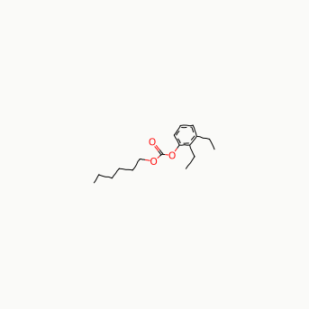 CCCCCCOC(=O)Oc1cccc(CC)c1CC